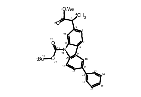 COC(=O)C(C)c1ccc2c3cc(-c4ccccc4)ccc3n(C(=O)OC(C)(C)C)c2c1